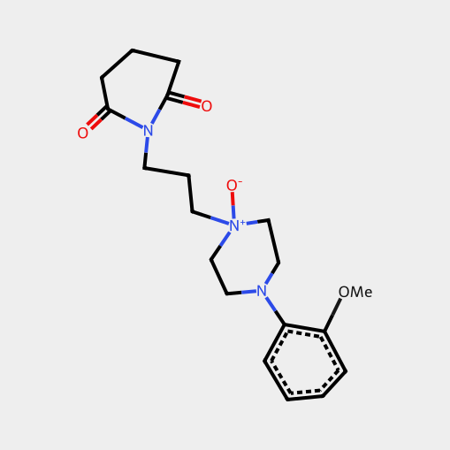 COc1ccccc1N1CC[N+]([O-])(CCCN2C(=O)CCCC2=O)CC1